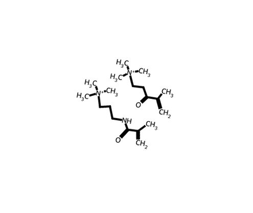 C=C(C)C(=O)CC[N+](C)(C)C.C=C(C)C(=O)NCCC[N+](C)(C)C